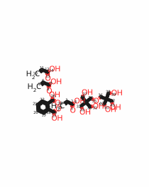 C=CC(=O)O.C=CC(=O)O.C=CC(=O)O.O=C(O)c1ccccc1C(=O)O.OCC(CO)(CO)COCC(CO)(CO)CO